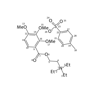 CC[N+](CC)(CC)CCOC(=O)c1ccc(OC)c(OC)c1OC.Cc1ccc(S(=O)(=O)[O-])cc1